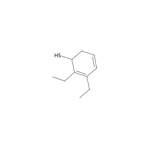 CCC1=C(CC)C(S)CC=C1